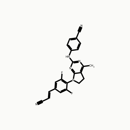 Cc1nc(Nc2ccc(C#N)cc2)nc2c1CCN2c1c(F)cc(/C=C/C#N)cc1F